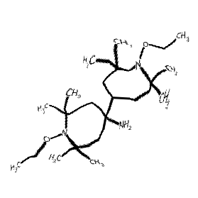 CCON1C(C)(C)CC(C2(N)CC(C)(C)N(OCC)C(C)(C)C2)CC1(C)C